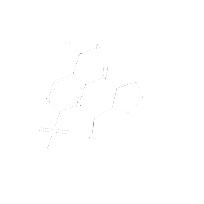 CS(=O)(=O)c1ncc(C(N)=O)c(NC2CCCC2CO)n1